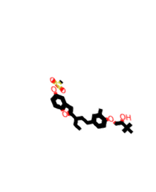 CCC(CCc1ccc(OCC(O)C(C)(C)C)c(C)c1)c1cc2cc(OS(C)(=O)=O)ccc2o1